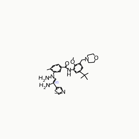 COc1c(CN2CCOCC2)cc(C(C)(C)C)cc1NC(=O)c1ccc(C)c(N(N)/C=C(\N)c2cncs2)c1